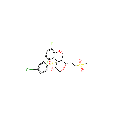 CS(=O)(=O)CC[C@@H]1OCCC2(S(=O)(=O)c3ccc(Cl)cc3)c3c(F)ccc(F)c3OCC12